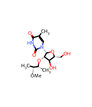 CO[C@H](C)[C@@H](C)O[C@H]1C(O)[C@@H](CO)O[C@H]1n1cc(C)c(=O)[nH]c1=O